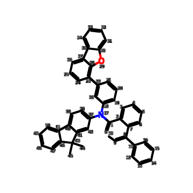 C=C(c1ccccc1/C(=C\C)c1ccccc1)N(c1cccc(-c2cccc3c2oc2ccccc23)c1)c1ccc2c(c1)C(C)(C)c1ccccc1-2